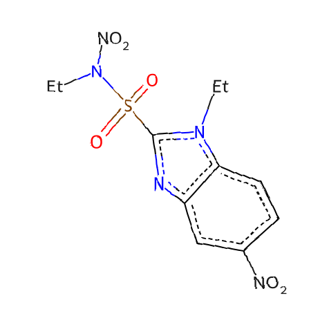 CCN([N+](=O)[O-])S(=O)(=O)c1nc2cc([N+](=O)[O-])ccc2n1CC